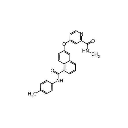 CNC(=O)c1cc(Oc2ccc3c(C(=O)Nc4ccc(C)cc4)cccc3c2)ccn1